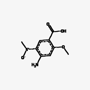 COc1cc(N)c([S+](C)[O-])cc1C(=O)O